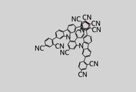 N#Cc1ccc(-c2ccc3c4ccc(-c5ccc(C#N)cc5C#N)cc4n(-c4cc(C#N)cc(-n5c6cc(-c7ccc(C#N)cc7C#N)ccc6c6ccc(-c7ccc(C#N)cc7C#N)cc65)c4-c4ccncc4)c3c2)c(C#N)c1